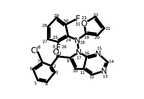 O=C(c1ccccc1Cl)c1cc2cncnc2n1N(c1ccco1)c1c(F)cccc1F